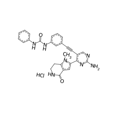 Cl.Cn1c(-c2nc(N)ncc2C#Cc2cccc(NC(=O)Nc3ccccc3)c2)cc2c1CCNC2=O